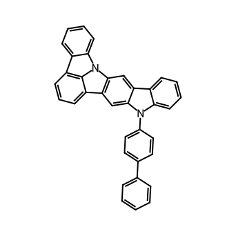 c1ccc(-c2ccc(-n3c4ccccc4c4cc5c(cc43)c3cccc4c6ccccc6n5c43)cc2)cc1